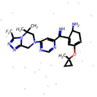 CC1(OC2=CCC(N)C(C(=N)c3cc(N4Cc5nnc(C(F)(F)F)n5C(C)(C)C4)ncn3)=C2)CC1